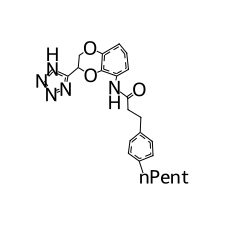 CCCCCc1ccc(CCC(=O)Nc2cccc3c2OC(c2nnn[nH]2)CO3)cc1